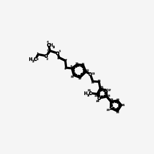 CCOC(C)OCCCc1ccc(OCCc2nc(-c3cccs3)oc2C)cc1